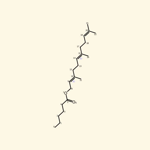 CCCCCC(=O)OC/C=C(\C)CC/C=C(\C)CCC=C(C)C